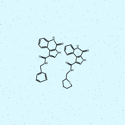 O=C(NCC1CCCCC1)c1c[nH]c2c(=O)[nH]c3ccccc3c12.O=C(NCc1ccccc1)c1c[nH]c2c(=O)[nH]c3ccccc3c12